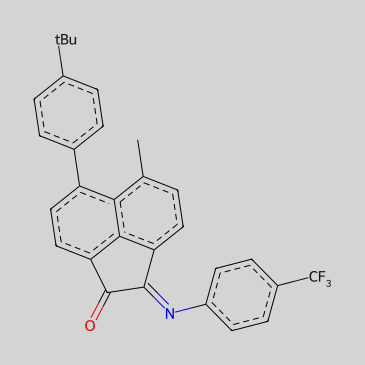 Cc1ccc2c3c(ccc(-c4ccc(C(C)(C)C)cc4)c13)C(=O)/C2=N/c1ccc(C(F)(F)F)cc1